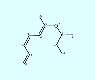 C=C/C=C\C=C(/C)OC(C)CC